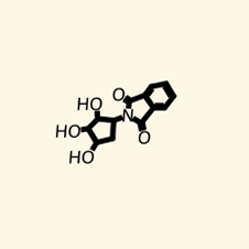 O=C1c2ccccc2C(=O)N1C1CC(O)C(O)C1O